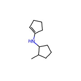 CC1CCCC1NC1=CCCC1